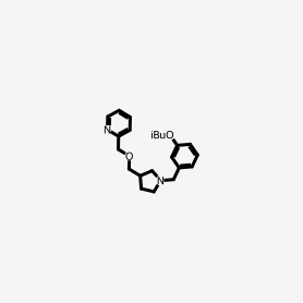 CC(C)COc1cccc(CN2CCC(COCc3ccccn3)C2)c1